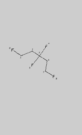 F[CH]CC(F)(F)CCF